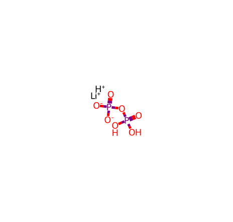 O=P([O-])([O-])OP(=O)(O)O.[H+].[Li+]